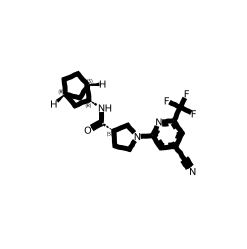 N#Cc1cc(N2CC[C@H](C(=O)N[C@@H]3C[C@@H]4CC[C@H]3C4)C2)nc(C(F)(F)F)c1